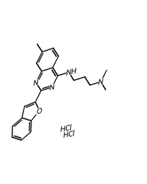 Cc1ccc2c(NCCCN(C)C)nc(-c3cc4ccccc4o3)nc2c1.Cl.Cl